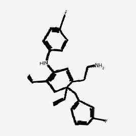 C=CC1=C(Nc2ccc(F)cc2)C=C(CCN)C(C=C)(Cc2cccc(F)c2)C1